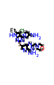 CCc1[nH]c2nc(Sc3cnc4c(N)nc(CN5CCOCC5)nc4c3)nc(N3CC[C@@H](N)C3)c2c1Cl